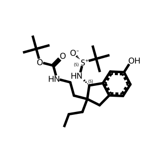 CCCC1(CCNC(=O)OC(C)(C)C)Cc2ccc(O)cc2[C@H]1N[S@+]([O-])C(C)(C)C